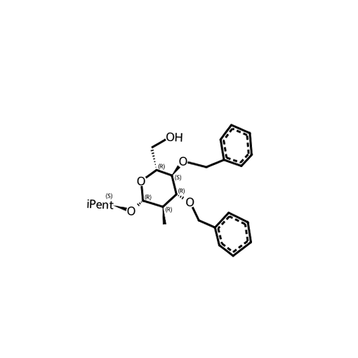 CCC[C@H](C)O[C@@H]1O[C@H](CO)[C@@H](OCc2ccccc2)[C@H](OCc2ccccc2)[C@H]1C